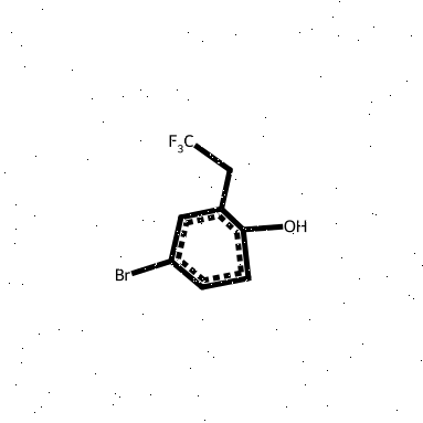 Oc1ccc(Br)cc1CC(F)(F)F